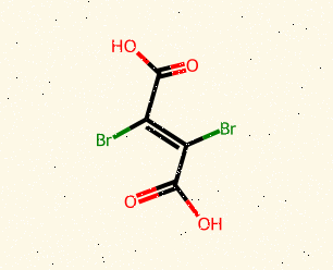 O=C(O)/C(Br)=C(\Br)C(=O)O